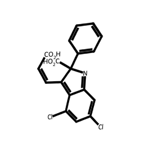 O=C(O)/C=C\C1=c2c(Cl)cc(Cl)cc2=NC1(C(=O)O)c1ccccc1